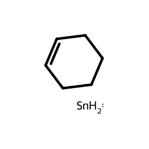 C1=CCCCC1.[SnH2]